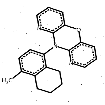 Cc1ccc(N2c3ncccc3Oc3cccnc32)c2c1CCCC2